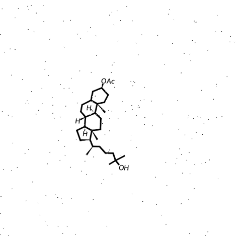 CC(=O)O[C@H]1CC[C@@]2(C)C(CC[C@H]3[C@@H]4CC[C@H]([C@H](C)CCCC(C)(C)O)[C@@]4(C)CC[C@@H]32)C1